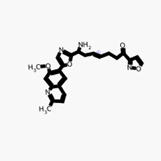 COc1cc2nc(C)ccc2cc1-c1cnc(C(N)C/C=C/CCC(=O)c2ccon2)o1